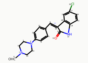 O=CN1CCN(c2ccc(/C=C3\C(=O)Nc4ccc(Cl)cc43)cc2)CC1